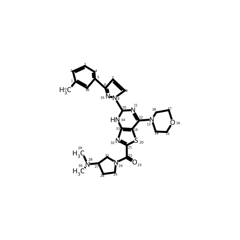 Cc1cccc(-c2ccn(C3N=C(N4CCOCC4)c4sc(C(=O)N5CCC(N(C)C)C5)nc4N3)n2)c1